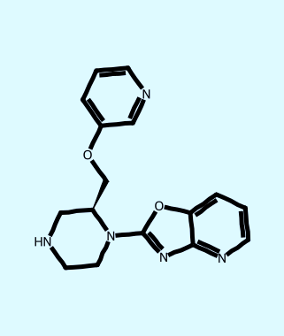 c1cncc(OC[C@@H]2CNCCN2c2nc3ncccc3o2)c1